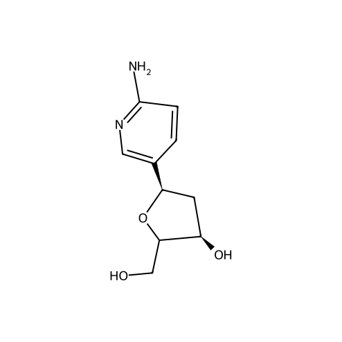 Nc1ccc([C@H]2C[C@@H](O)C(CO)O2)cn1